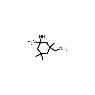 CC1(C)CC(N)(N)[CH]C(C)(CN)C1